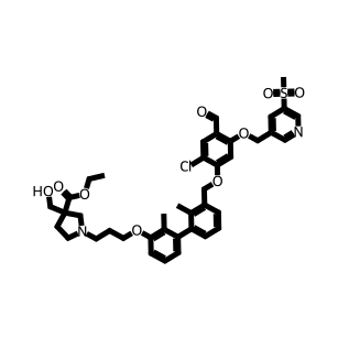 CCOC(=O)C1(CO)CCN(CCCOc2cccc(-c3cccc(COc4cc(OCc5cncc(S(C)(=O)=O)c5)c(C=O)cc4Cl)c3C)c2C)C1